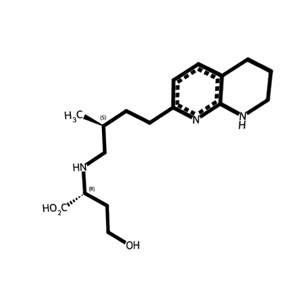 C[C@@H](CCc1ccc2c(n1)NCCC2)CN[C@H](CCO)C(=O)O